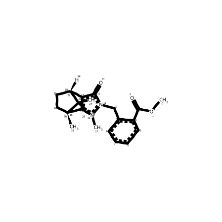 COC(=O)c1ccccc1Cn1c(=O)c2c(n1C)[C@]1(C)CC[C@H]2C1(C)C